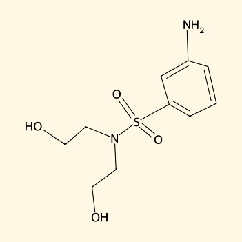 Nc1cccc(S(=O)(=O)N(CCO)CCO)c1